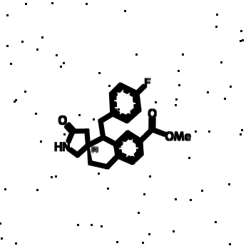 COC(=O)c1ccc2c(c1)C(Cc1ccc(F)cc1)[C@]1(CC2)CNC(=O)C1